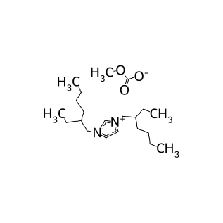 CCCCC(CC)Cn1cc[n+](CC(CC)CCCC)c1.COC(=O)[O-]